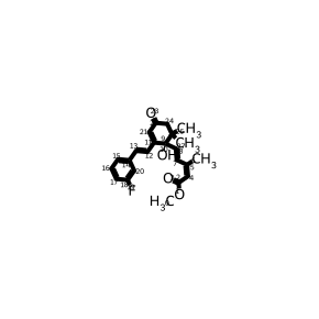 COC(=O)/C=C(C)\C=C\[C@@]1(O)C(/C=C/c2cccc(F)c2)=CC(=O)CC1(C)C